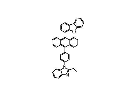 CCc1nc2ccccc2n1-c1ccc(-c2c3ccccc3c(-c3cccc4c3oc3ccccc34)c3ccccc23)cc1